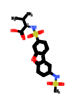 CC(C)[C@H](NS(=O)(=O)c1ccc2c(c1)oc1ccc(NS(C)(=O)=O)cc12)C(=O)O